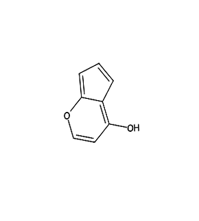 Oc1ccoc2cccc1-2